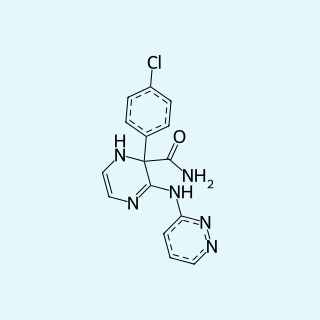 NC(=O)C1(c2ccc(Cl)cc2)NC=CN=C1Nc1cccnn1